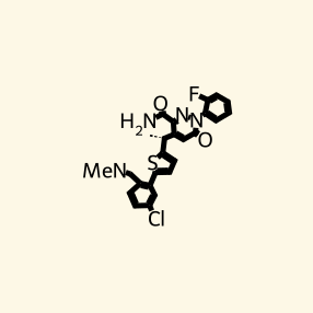 CNCc1ccc(Cl)cc1-c1ccc([C@H](C)c2cc(=O)n(-c3ccccc3F)nc2C(N)=O)s1